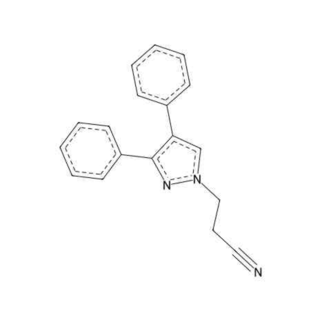 N#CCCn1cc(-c2ccccc2)c(-c2ccccc2)n1